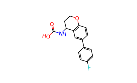 O=C(O)NC1CCOc2ccc(-c3ccc(F)cc3)cc21